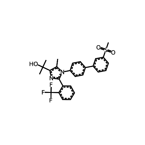 Cc1c(C(C)(C)O)nc(-c2ccccc2C(F)(F)F)n1-c1ccc(-c2cccc(S(C)(=O)=O)c2)cc1